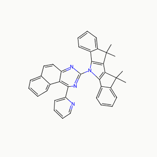 CC1(C)c2ccccc2-c2c1c1c(n2-c2nc(-c3ccccn3)c3c(ccc4ccccc43)n2)-c2ccccc2C1(C)C